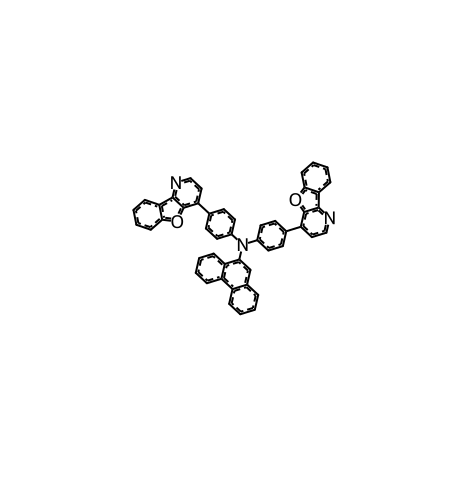 c1ccc2c(c1)cc(N(c1ccc(-c3ccnc4c3oc3ccccc34)cc1)c1ccc(-c3ccnc4c3oc3ccccc34)cc1)c1ccccc12